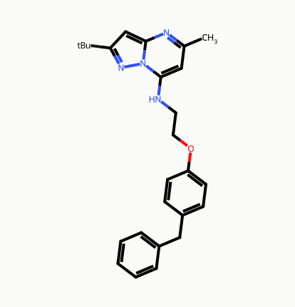 Cc1cc(NCCOc2ccc(Cc3ccccc3)cc2)n2nc(C(C)(C)C)cc2n1